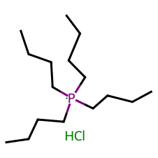 CCCC[P](CCCC)(CCCC)CCCC.Cl